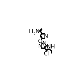 C=C(N)c1cncc(Oc2ncc3c(Cl)c(CC)[nH]c3n2)c1